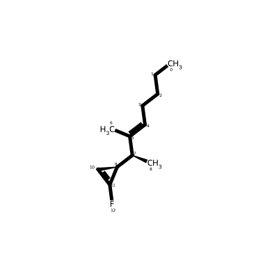 CCCC/C=C(\C)[C@@H](C)[C@@H]1C=C1F